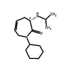 CC(C)N[C@H]1CC=CCN(C2CCCCC2)C1=O